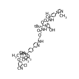 Cc1nccn1-c1ccc([C@H](C)NC(=O)[C@@H]2C[C@@H](O)CN2C(=O)C(NC(=O)COCCNc2ccc(-c3ccc(C(=O)N[C@H]4C(C)(C)[C@H](Oc5ccc(C#N)c(Cl)c5)C4(C)C)cc3)cn2)C(C)(C)C)cc1